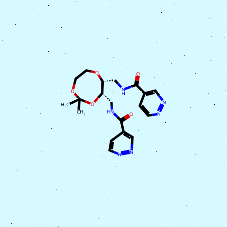 CC1(C)OCCO[C@H](CNC(=O)c2ccnnc2)[C@H](CNC(=O)c2ccnnc2)O1